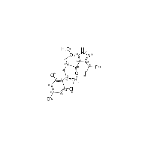 COCN(C[C@@H](C)c1c(Cl)cc(Cl)cc1Cl)C(=O)c1c[nH]nc1C(F)F